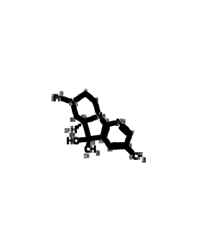 CC(C)N1CCN2c3ncc(C(F)(F)F)cc3[C@](C)(O)[C@H]2C1